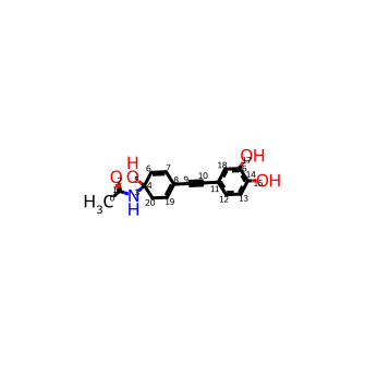 CC(=O)NC1(O)C=CC(C#Cc2ccc(O)c(O)c2)=CC1